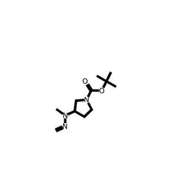 C=NN(C)C1CCN(C(=O)OC(C)(C)C)C1